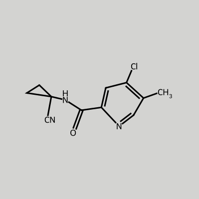 Cc1cnc(C(=O)NC2(C#N)CC2)cc1Cl